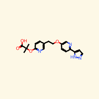 CC(C)(Oc1ccc(CCOc2ccc(-c3ccn[nH]3)nc2)cn1)C(=O)O